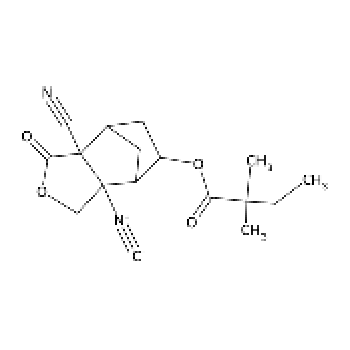 [C-]#[N+]C12COC(=O)C1(C#N)C1CC(OC(=O)C(C)(C)CC)C2C1